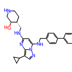 O[C@H]1CNCC[C@@H]1CNc1cc(NCc2ccc(-c3ccccc3)cc2)n2ncc(C3CC3)c2n1